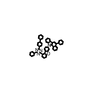 c1ccc(-c2ccc(-c3nc(-c4ccccc4)nc(-c4cccc5oc6cc(-n7c8ccccc8c8cc(-c9ccccc9)c9ccccc9c87)ccc6c45)n3)cc2)cc1